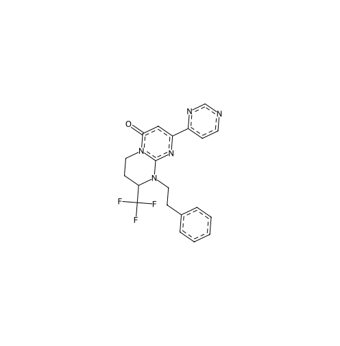 O=c1cc(-c2ccncn2)nc2n1CCC(C(F)(F)F)N2CCc1ccccc1